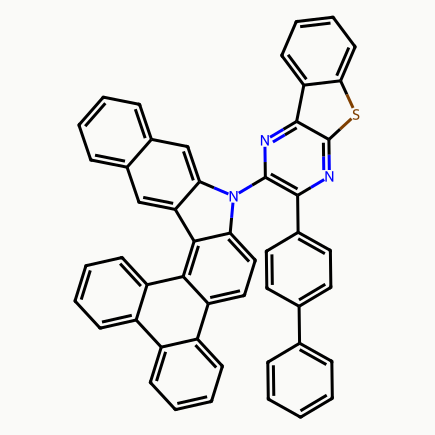 c1ccc(-c2ccc(-c3nc4sc5ccccc5c4nc3-n3c4cc5ccccc5cc4c4c5c6ccccc6c6ccccc6c5ccc43)cc2)cc1